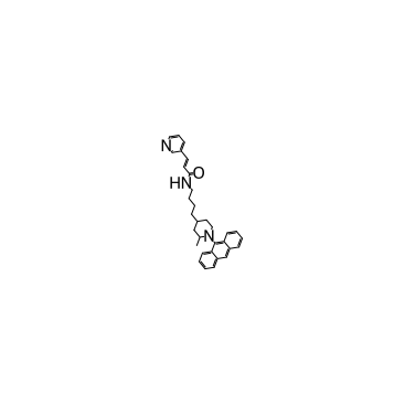 CC1CC(CCCCNC(=O)C=Cc2cccnc2)CCN1c1c2ccccc2cc2ccccc12